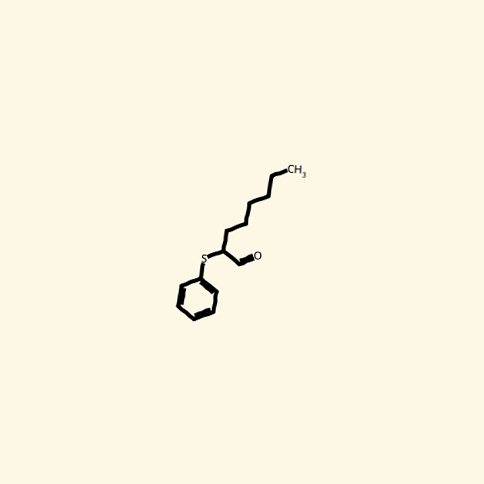 CCCCCCC(C=O)Sc1ccccc1